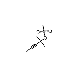 CC#CC(C)(C)OS(C)(=O)=O